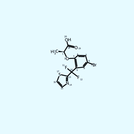 C[C@H](Oc1ccc(Br)cc1C(F)(F)c1nccs1)C(=O)O